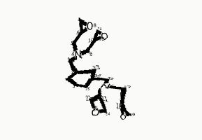 c1cc(CN(CC2CO2)CC2CO2)cc(CN(CC2CO2)C2COC2)c1